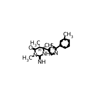 Cc1cccc(-c2ncc([C@@]3(C)NC(=N)N(C)C(=O)[C@@H]3C)s2)c1